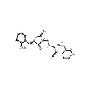 COc1ccccc1/C=C1\SC(=S)N(CCCC(=O)N2CCCCC2C(=O)O)C1=O